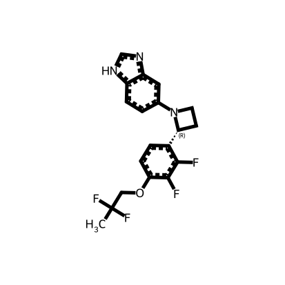 CC(F)(F)COc1ccc([C@H]2CCN2c2ccc3[nH]cnc3c2)c(F)c1F